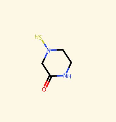 O=C1CN(S)CCN1